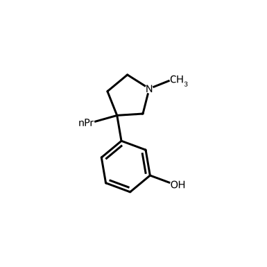 CCCC1(c2cccc(O)c2)CCN(C)C1